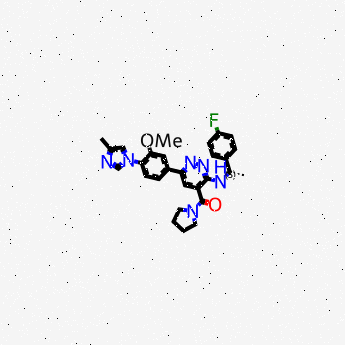 COc1cc(-c2cc(C(=O)N3CCCC3)c(N[C@@H](C)c3ccc(F)cc3)nn2)ccc1-n1cnc(C)c1